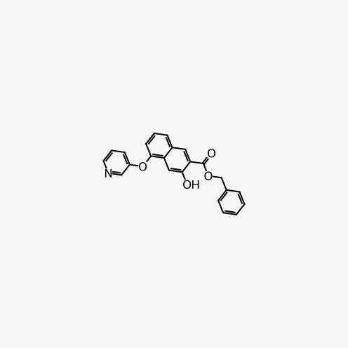 O=C(OCc1ccccc1)c1cc2cccc(Oc3cccnc3)c2cc1O